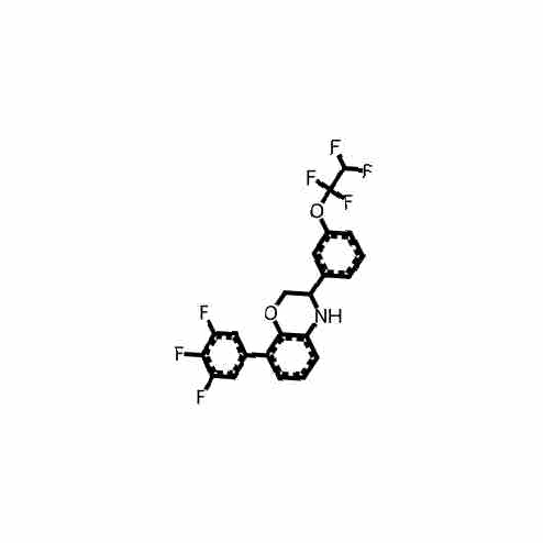 Fc1cc(-c2cccc3c2OCC(c2cccc(OC(F)(F)C(F)F)c2)N3)cc(F)c1F